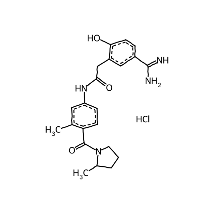 Cc1cc(NC(=O)Cc2cc(C(=N)N)ccc2O)ccc1C(=O)N1CCCC1C.Cl